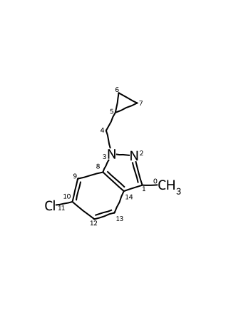 Cc1nn(CC2CC2)c2cc(Cl)ccc12